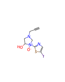 C#CCN1CC(O)[N+]([O-])(c2ncc(I)s2)C1